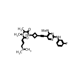 CNc1nc(Nc2cccc(F)c2)ncc1C#CC1CC(NC(=O)C(C)N(C)C(=O)C=CCN(C)C)C1